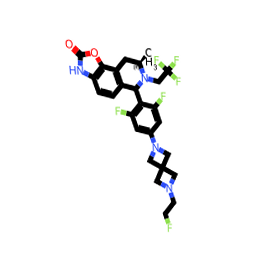 C[C@@H]1Cc2c(ccc3[nH]c(=O)oc23)C(c2c(F)cc(N3CC4(CN(CCF)C4)C3)cc2F)N1CC(F)(F)F